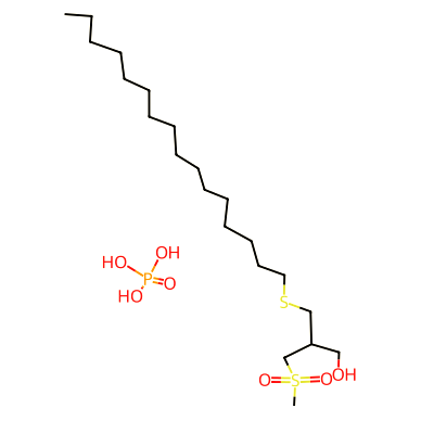 CCCCCCCCCCCCCCCCSCC(CO)CS(C)(=O)=O.O=P(O)(O)O